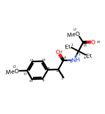 CCC(CC)(NC(=O)C(C)c1ccc(OC)cc1)C(=O)OC